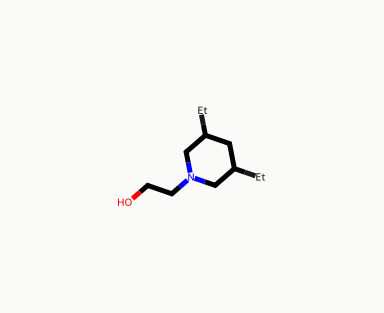 CCC1CC(CC)CN(CCO)C1